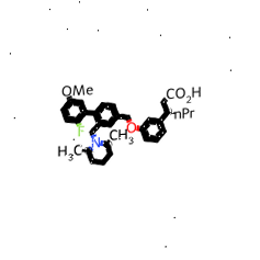 CCC[C@@H](CC(=O)O)c1cccc(OCc2ccc(-c3cc(OC)ccc3F)c(CN3[C@H](C)CCC[C@@H]3C)c2)c1